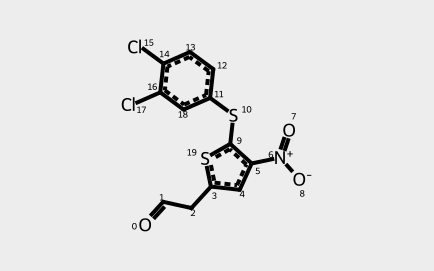 O=CCc1cc([N+](=O)[O-])c(Sc2ccc(Cl)c(Cl)c2)s1